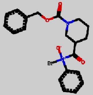 CC[N+]([O-])(C(=O)C1CCCN(C(=O)OCc2ccccc2)C1)c1ccccc1